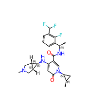 C[C@@H]1C[C@@H]1n1cc(C(=O)N[C@H](C)c2cccc(C(F)F)c2F)c(N[C@H]2[C@@H]3CN(C)C[C@@H]32)cc1=O